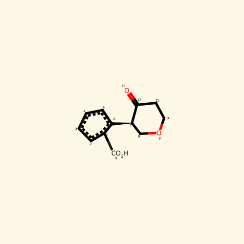 O=C(O)c1ccccc1[C@@H]1COCCC1=O